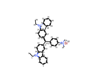 CCn1c2ccccc2c2cc(C(c3ccc(N(C)C)cc3)=c3ccc4c(c3)-c3ccccc3[N+]=4CC)ccc21.[Br-]